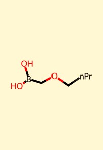 CCCCOCB(O)O